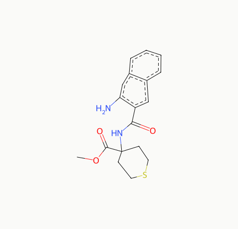 COC(=O)C1(NC(=O)c2cc3ccccc3cc2N)CCSCC1